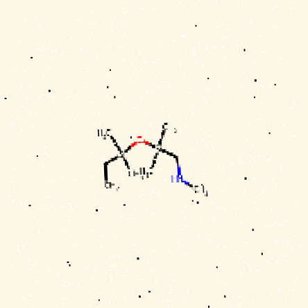 CC[Si](C)(C)O[Si](C)(C)CNC